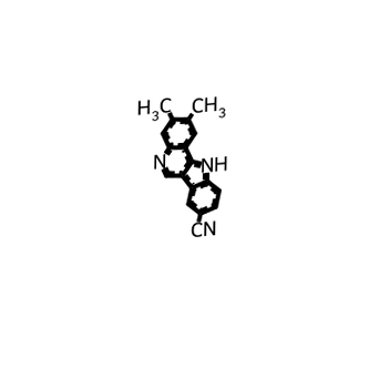 Cc1cc2ncc3c4cc(C#N)ccc4[nH]c3c2cc1C